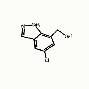 OCc1cc(Cl)cc2cn[nH]c12